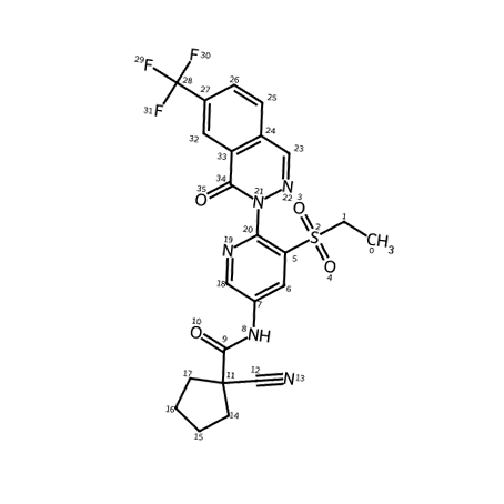 CCS(=O)(=O)c1cc(NC(=O)C2(C#N)CCCC2)cnc1-n1ncc2ccc(C(F)(F)F)cc2c1=O